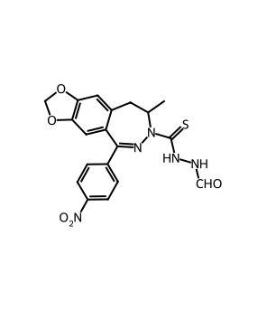 CC1Cc2cc3c(cc2C(c2ccc([N+](=O)[O-])cc2)=NN1C(=S)NNC=O)OCO3